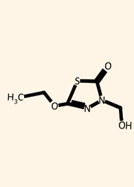 CCOc1nn(CO)c(=O)s1